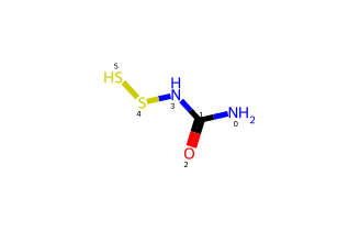 NC(=O)NSS